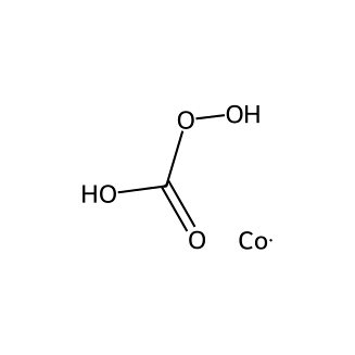 O=C(O)OO.[Co]